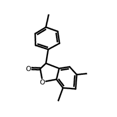 Cc1ccc(C2C(=O)Oc3c(C)cc(C)cc32)cc1